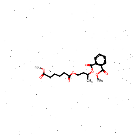 CCCCOC(=O)CCCCC(=O)OCCC(C)OC(=O)c1ccccc1C(=O)OCCCC